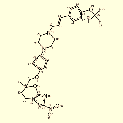 CC1(COc2ccc(N3CCN(CC=Cc4ccc(OC(F)(F)F)cc4)CC3)cc2)CCn2cc([N+](=O)[O-])nc2O1